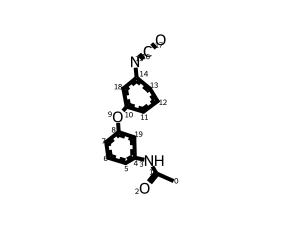 CC(=O)Nc1cccc(Oc2cccc(N=C=O)c2)c1